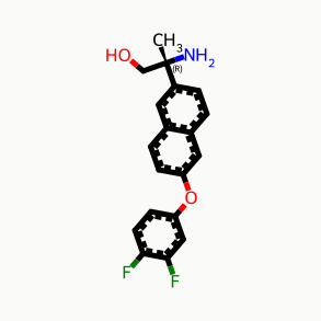 C[C@](N)(CO)c1ccc2cc(Oc3ccc(F)c(F)c3)ccc2c1